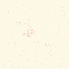 COC(=O)C[C@H](CC[C@@](C)(O)[C@@H](O)COCc1ccc(OC)cc1)O[Si](C)(C)C(C)(C)C